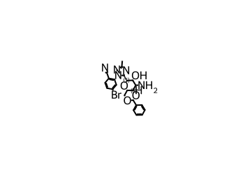 Cc1nc([C@@H]2OC3COC(c4ccccc4)O[C@@H]3C(N)C2O)n(-c2cc(Br)ccc2C#N)n1